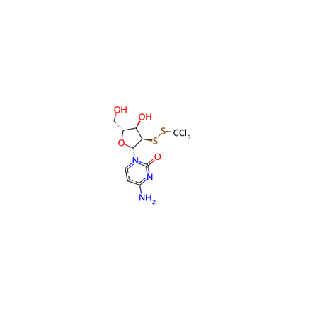 Nc1ccn([C@@H]2O[C@H](CO)[C@@H](O)[C@H]2SSC(Cl)(Cl)Cl)c(=O)n1